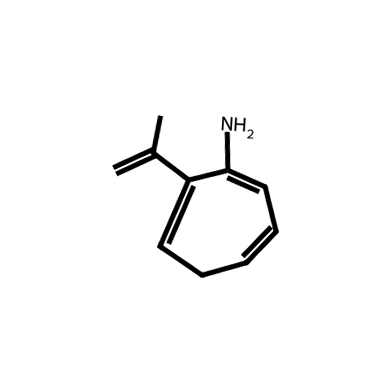 C=C(C)C1=CCC=CC=C1N